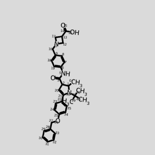 CC1C(C(=O)Nc2ccc(CN3CC(C(=O)O)C3)cc2)C=C(c2ccc(OCc3ccccc3)cc2)N1C(C)(C)C